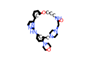 O=C1CN2CCN(CC2)Cc2cc(ccc2N2CCOCC2)Nc2nccc(n2)-c2cccc(c2)OCCCN1